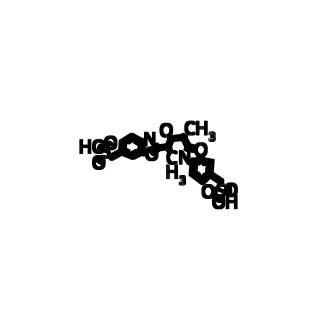 CC(C(=O)C(C)c1nc2ccc(CS(=O)(=O)O)cc2o1)c1nc2ccc(CS(=O)(=O)O)cc2o1